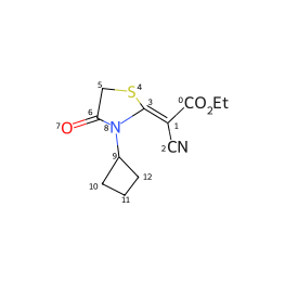 CCOC(=O)/C(C#N)=C1\SCC(=O)N1C1CCC1